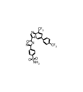 NS(=O)(=O)c1ccc(-c2noc(-c3cnc4c(C(F)(F)F)cc(-c5ccc(C(F)(F)F)cc5)cn34)n2)cc1